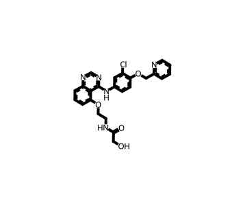 O=C(CO)NCCOc1cccc2ncnc(Nc3ccc(OCc4ccccn4)c(Cl)c3)c12